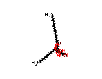 CCCCCCCCCCCCCCCCCCCCCC(=O)OC[C@H](COP(=O)(O)OC[C@@H](O)CO)OC(=O)CCCCCCCCCCCCCCC